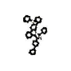 c1ccc(-c2ccc(-c3nc(-c4ccccc4)n4c5cc6c7ccccc7n(-c7ccccc7)c6cc5c5ccccc5c34)cc2)cc1